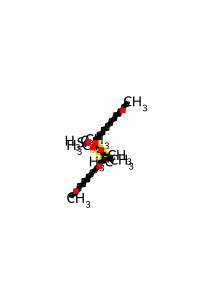 CCCCCCCCCCCCCCCCCc1[c]([Sn]([CH3])([CH3])[CH3])sc2c1sc1c3s[c]([Sn]([CH3])([CH3])[CH3])c(CCCCCCCCCCCCCCCCC)c3sc21